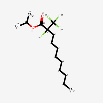 CCCCCCCCCC(F)(C(=O)OC(C)C)C(F)(F)F